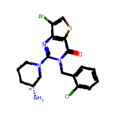 N[C@@H]1CCCN(c2nc3c(Br)csc3c(=O)n2Cc2ccccc2Cl)C1